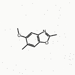 COc1cc2nc(C)oc2cc1C